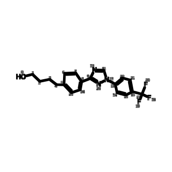 OCCCCc1ccc(-c2ncn(-c3ccc(C(F)(F)F)cc3)n2)cc1